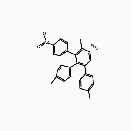 Cc1ccc(-c2ccc(I)c(-c3ccc([N+](=O)[O-])cc3)c2-c2ccc(C)cc2)cc1.P